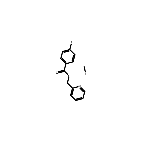 CI.O=C(OCc1ccccn1)c1ccc(F)cc1